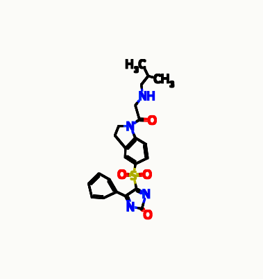 CC(C)CNCC(=O)N1CCc2cc(S(=O)(=O)C3=NC(=O)N=C3c3ccccc3)ccc21